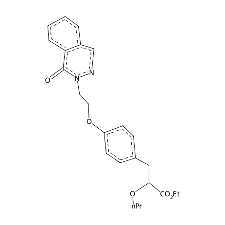 CCCOC(Cc1ccc(OCCn2ncc3ccccc3c2=O)cc1)C(=O)OCC